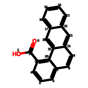 O=C(O)c1cccc2ccc3cc4ccccc4cc3c12